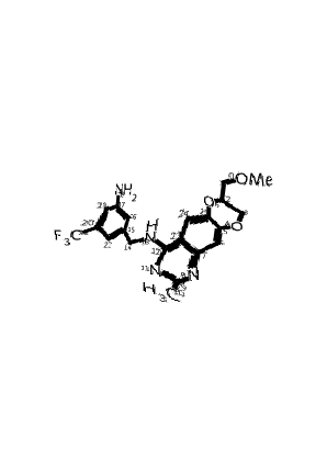 COCC1COc2cc3nc(C)nc(NCc4cc(N)cc(C(F)(F)F)c4)c3cc2O1